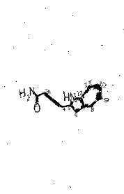 NC(=O)C=Cc1cc2ccccc2[nH]1